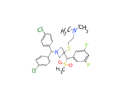 CN(C)CCSC1(C(c2cc(F)cc(F)c2)S(C)(=O)=O)CN(C(c2ccc(Cl)cc2)c2ccc(Cl)cc2)C1